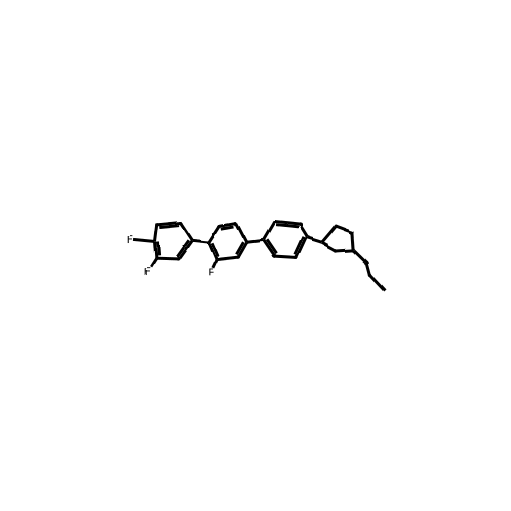 CCCC1CCC(c2ccc(-c3ccc(-c4ccc(F)c(F)c4)c(F)c3)cc2)C1